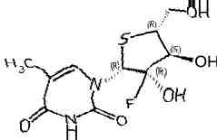 Cc1cn([C@@H]2S[C@H](CO)[C@@H](O)[C@@]2(O)F)c(=O)[nH]c1=O